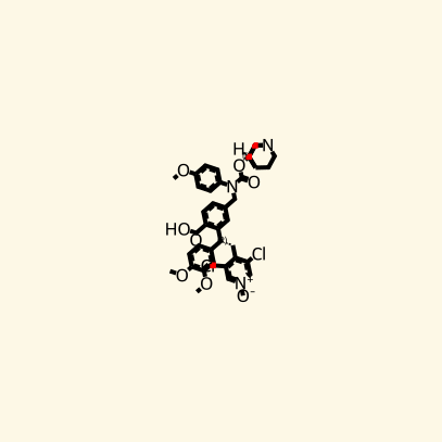 COc1ccc(N(Cc2ccc(C(=O)O)c([C@H](Cc3c(Cl)c[n+]([O-])cc3Cl)c3ccc(OC)c(OC)c3)c2)C(=O)O[C@H]2CN3CCC2CC3)cc1